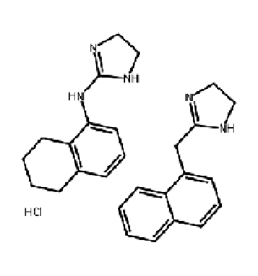 Cl.c1cc2c(c(NC3=NCCN3)c1)CCCC2.c1ccc2c(CC3=NCCN3)cccc2c1